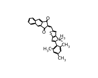 Cc1cc(C)c(-c2cc3sc(C=C4C(=O)c5cc6ccccc6cc5C4=O)cc3n2C)c(C)c1